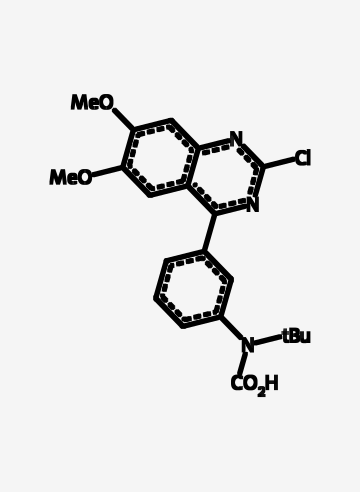 COc1cc2nc(Cl)nc(-c3cccc(N(C(=O)O)C(C)(C)C)c3)c2cc1OC